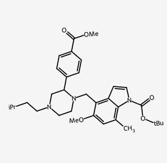 COC(=O)c1ccc(C2CN(CCC(C)C)CCN2Cc2c(OC)cc(C)c3c2ccn3C(=O)OC(C)(C)C)cc1